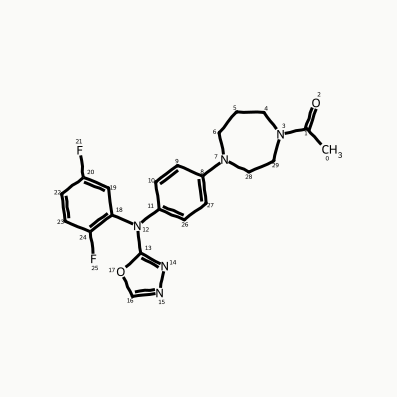 CC(=O)N1CCCN(c2ccc(N(c3nnco3)c3cc(F)ccc3F)cc2)CC1